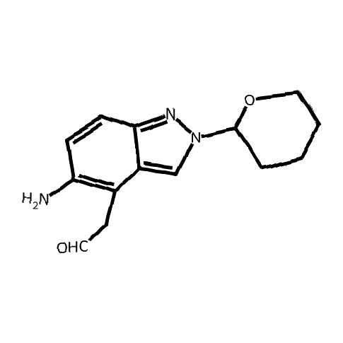 Nc1ccc2nn(C3CCCCO3)cc2c1CC=O